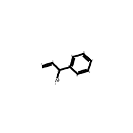 C=C[CH]([Al])c1ccccc1